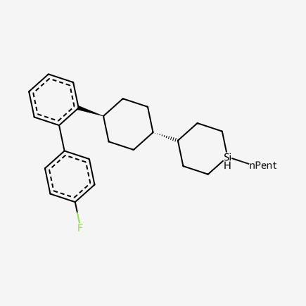 CCCCC[SiH]1CCC([C@H]2CC[C@H](c3ccccc3-c3ccc(F)cc3)CC2)CC1